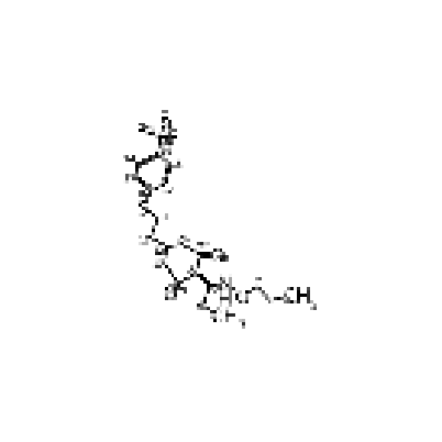 CCCONC(CC)=C1C(=O)CC(CCSc2ccc(C(F)(F)F)cc2)CC1=O